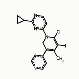 CC1=C(c2ccncc2)CN(c2ccnc(C3CC3)n2)C(Cl)=C1I